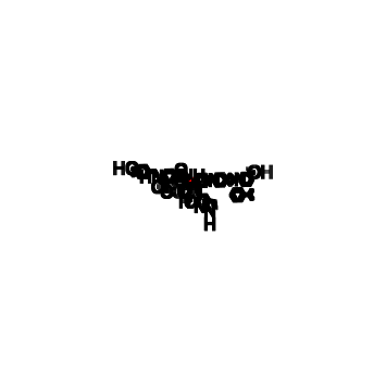 CC(C)c1ccccc1[C@H]1CC[C@@](C)(O)CN1C1CC2(CCN(c3ccc(C(=O)NS(=O)(=O)c4ccc(NCC5CCC(C)(O)CC5)c([N+](=O)[O-])c4)c(N4c5cc6cc[nH]c6nc5O[C@H]5COCC[C@@H]54)c3)CC2)C1